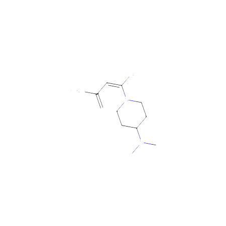 C=C(/C=C(/Br)N1CCC(N(C)C)CC1)NC(C)=O